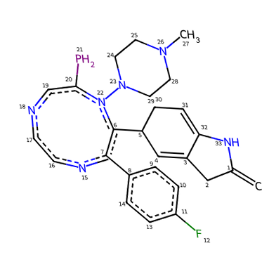 C=C1CC2=CC(c3c(-c4ccc(F)cc4)nccncc(P)n3N3CCN(C)CC3)CC=C2N1